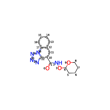 O=C(NOC1CCCCO1)c1cc2ccccc2n2nnnc12